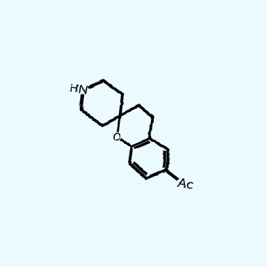 CC(=O)c1ccc2c(c1)CCC1(CCNCC1)O2